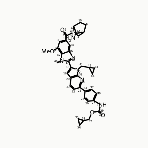 COc1cc(C(=O)N2CC3CCC2C3N)cc2nc(-c3cc4ccc(-c5ccc(NC(=O)OCC6CC6)cc5)nc4n3CC3CC3)n(C)c12